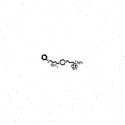 CC(C)OP(=O)(CCCN1CCN(CC[C@@H](N)CSc2ccccc2)CC1)OC(C)C